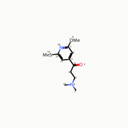 COc1cc(C(=O)CCN(C)C)cc(SC)n1